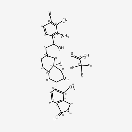 Cc1c(C(O)CN2CCN3C[C@@H](c4ccc5c(c4C)COC5=O)OC[C@@H]3C2)ccc(F)c1C#N.O=C(O)C(F)(F)F